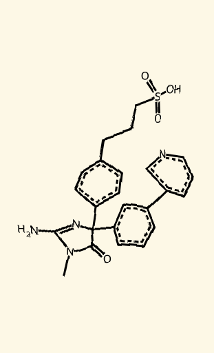 CN1C(=O)C(c2ccc(CCCS(=O)(=O)O)cc2)(c2cccc(-c3cccnc3)c2)N=C1N